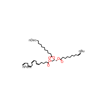 CCCC/C=C\CCCCCCCC(=O)OC[C@H](COC(=O)CCC/C=C\C/C=C\C/C=C\C/C=C\CCCCC)OC(=O)CCCCCCCCCCCCCCCCCCC